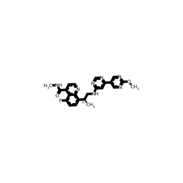 CNC(=O)c1ccnc2c([C@H](C)CNc3cc(-c4cnc(OC)nc4)ncn3)ccc(F)c12